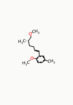 COC[C@@H](C)CC/C=C/c1cc(C)ccc1OC